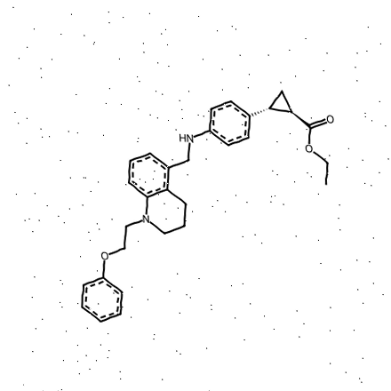 CCOC(=O)[C@@H]1C[C@H]1c1ccc(NCc2cccc3c2CCCN3CCOc2ccccc2)cc1